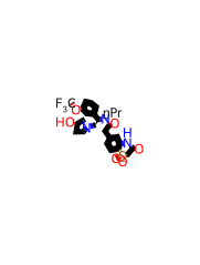 CCCN(C(=O)Cc1ccc2c(c1)NC(=O)CS2(=O)=O)[C@H](CN1CC[C@H](O)C1)c1cccc(OC(F)(F)F)c1